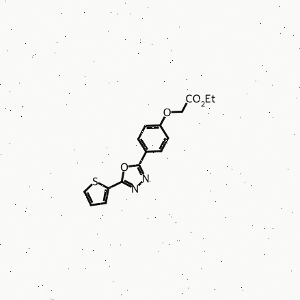 CCOC(=O)COc1ccc(-c2nnc(-c3cccs3)o2)cc1